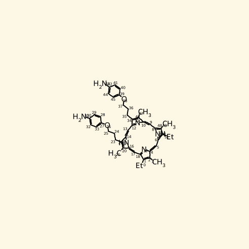 CCC1=C(C)c2cc3[nH]c(cc4nc(cc5[nH]c(cc1n2)c(C)c5CCCOc1ccc(N)cc1)C(CCCOc1ccc(N)cc1)=C4C)c(C)c3CC